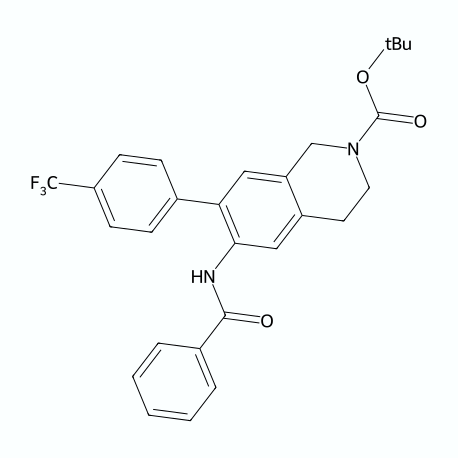 CC(C)(C)OC(=O)N1CCc2cc(NC(=O)c3ccccc3)c(-c3ccc(C(F)(F)F)cc3)cc2C1